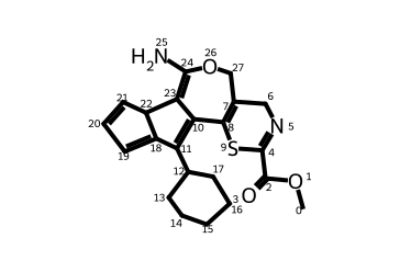 COC(=O)C1=NCC2=C(S1)C1=C(C3CCCCC3)C3=CC=CC3C1=C(N)OC2